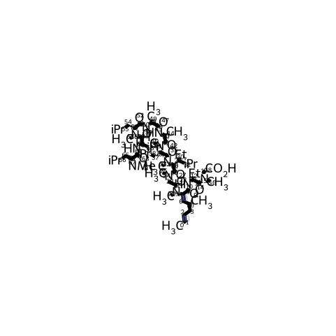 C/C=C/C[C@@H](C)/C=C(\C(=O)N[C@@H](CC)C(=O)N(C)CC(=O)O)N(C)C(=O)CN(C)C(=O)[C@H](C(CC)C(C)C)N(C)C(=O)[C@H](CC(C)C)N(C)C(=O)[C@@H](C)NC(=O)[C@H](C)NC(=O)[C@H](CC(C)C)N(C)C(=O)C(NC(=O)[C@H](CC(C)C)NC)C(C)C